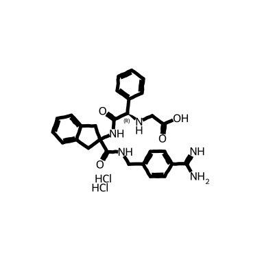 Cl.Cl.N=C(N)c1ccc(CNC(=O)C2(NC(=O)[C@H](NCC(=O)O)c3ccccc3)Cc3ccccc3C2)cc1